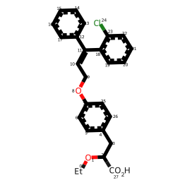 CCOC(Cc1ccc(OC/C=C(/c2ccccc2)c2ccccc2Cl)cc1)C(=O)O